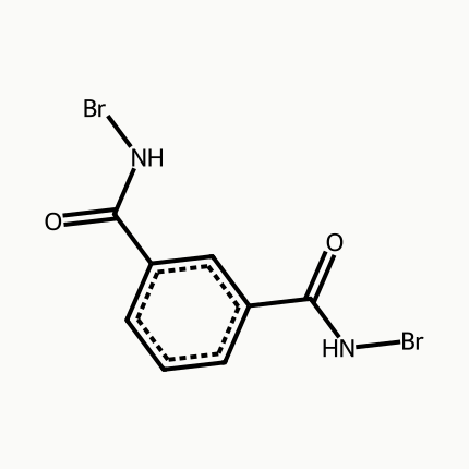 O=C(NBr)c1cccc(C(=O)NBr)c1